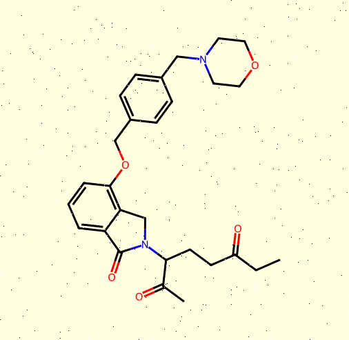 CCC(=O)CCC(C(C)=O)N1Cc2c(OCc3ccc(CN4CCOCC4)cc3)cccc2C1=O